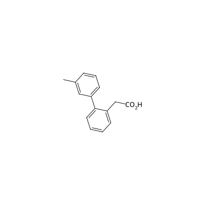 Cc1cccc(-c2ccccc2CC(=O)O)c1